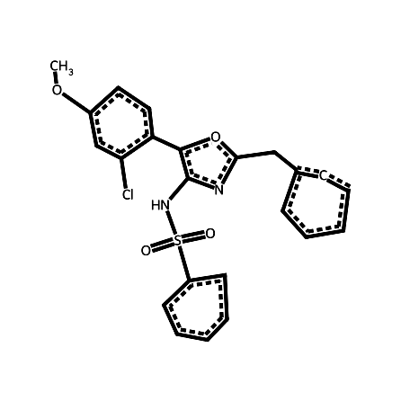 COc1ccc(-c2oc(Cc3ccccc3)nc2NS(=O)(=O)c2ccccc2)c(Cl)c1